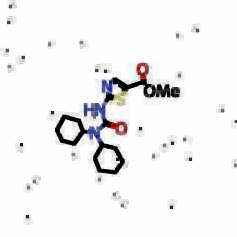 COC(=O)c1cnc(NC(=O)N(C2CCCCC2)C2CCCCC2)s1